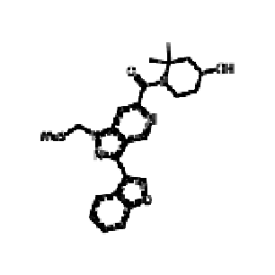 CSCn1nc(-c2coc3ccccc23)c2cnc(C(=O)N3CCC(O)CC3(C)C)cc21